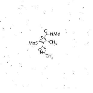 CNC(=O)c1sc(SC)c(-c2cc(C)no2)c1C